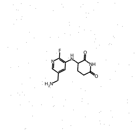 NCc1cnc(F)c(NC2CCC(=O)NC2=O)c1